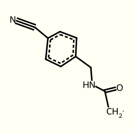 [CH2]C(=O)NCc1ccc(C#N)cc1